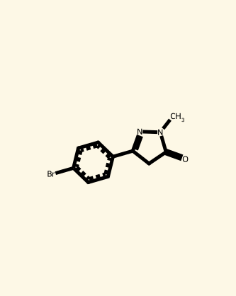 CN1N=C(c2ccc(Br)cc2)CC1=O